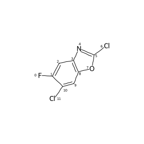 Fc1cc2nc(Cl)oc2cc1Cl